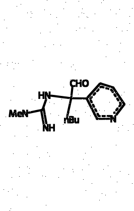 CCCCC(C=O)(NC(=N)NC)c1cccnc1